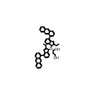 CCC1=Cc2c(-c3cccc4cc5ccccc5cc34)cccc2[CH]1[Zr]([CH](O)CCO)[CH]1C(CC)=Cc2c(-c3cccc4cc5ccccc5cc34)cccc21